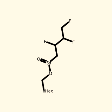 CCCCCCC[O][Sn](=[O])[CH2]C(F)C(F)CF